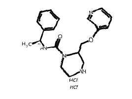 C[C@H](NC(=O)N1CCNCC1COc1cccnc1)c1ccccc1.Cl.Cl